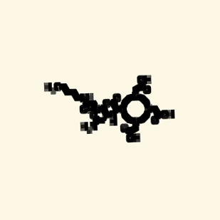 CCCCCNC(=O)CNC(=O)[C@@H](CC(N)=O)NC(C=O)N1CCN(CC(=O)O)CCN(CC(=O)O)CCN(CC(=O)O)CC1